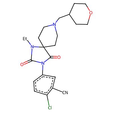 CCN1C(=O)N(c2ccc(Cl)c(C#N)c2)C(=O)C12CCN(CC1CCOCC1)CC2